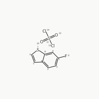 Fc1ccc2ccsc2c1.O=S(=O)(Cl)Cl